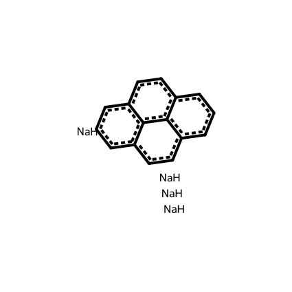 [NaH].[NaH].[NaH].[NaH].c1cc2ccc3cccc4ccc(c1)c2c34